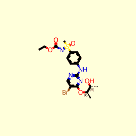 CCOC(=O)N=S(C)(=O)c1ccc(Nc2ncc(Br)c(O[C@H](C)[C@@H](C)O)n2)cc1